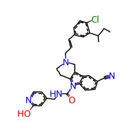 CCC(C)c1cc(/C=C/CN2CCc3c(c4cc(C#N)ccc4n3C(=O)NCc3ccnc(O)c3)C2)ccc1Cl